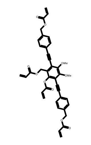 C=CC(=O)OCc1ccc(C#Cc2c(COC(=O)C=C)c(OC(=O)C=C)c(C#Cc3ccc(COC(=O)C=C)cc3)c(OC)c2OC)cc1